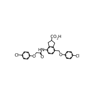 O=C(COc1ccc(Cl)cc1)Nc1ccc(COc2ccc(Cl)cc2)c2c1CC(C(=O)O)C2